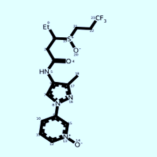 CCC(CC(=O)Nc1cn(-c2ccc[n+]([O-])c2)nc1C)[S+]([O-])CCC(F)(F)F